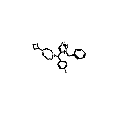 Fc1ccc(C(c2cnnn2Cc2ccccc2)N2CCCN(C3CCC3)CC2)cc1